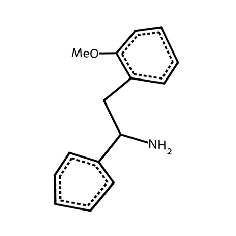 COc1ccccc1CC(N)c1ccccc1